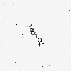 CC(=O)c1cc2ccc(CCc3ccc4c(c3)C(C)(C)CO4)cc2o1